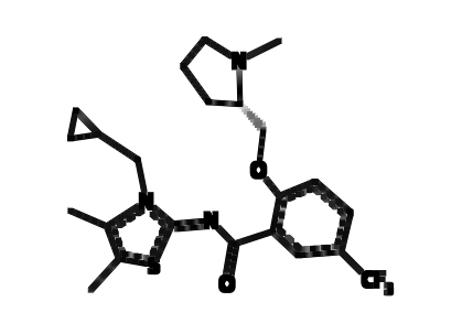 Cc1sc(=NC(=O)c2cc(C(F)(F)F)ccc2OC[C@@H]2CCCN2C)n(CC2CC2)c1C